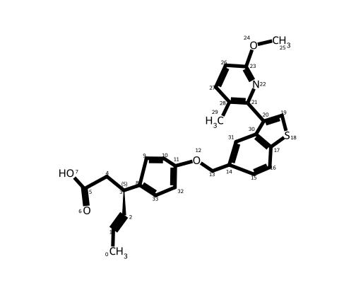 CC#C[C@@H](CC(=O)O)c1ccc(OCc2ccc3scc(-c4nc(OC)ccc4C)c3c2)cc1